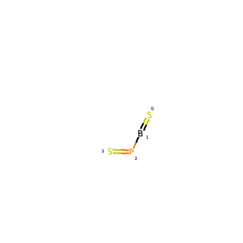 S=BP=S